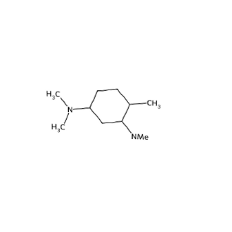 CNC1CC(N(C)C)CCC1C